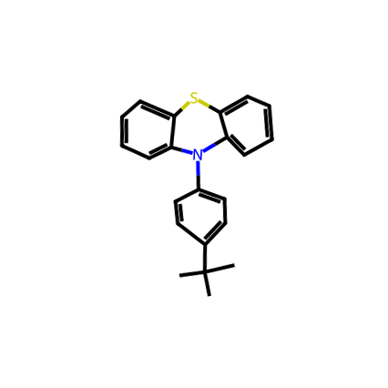 CC(C)(C)c1ccc(N2c3ccccc3Sc3ccccc32)cc1